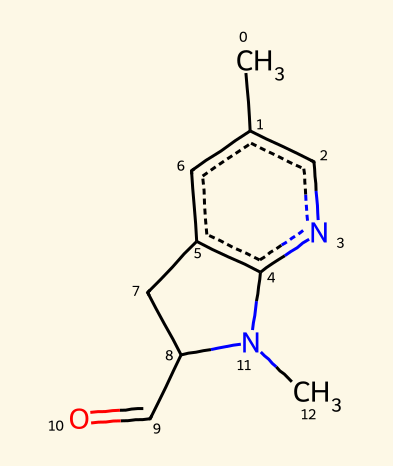 Cc1cnc2c(c1)CC(C=O)N2C